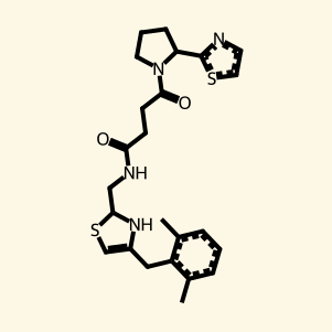 Cc1cccc(C)c1CC1=CSC(CNC(=O)CCC(=O)N2CCCC2c2nccs2)N1